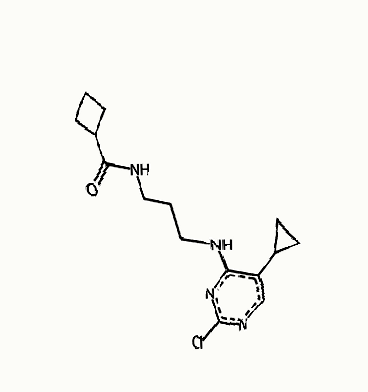 O=C(NCCCNc1nc(Cl)ncc1C1CC1)C1CCC1